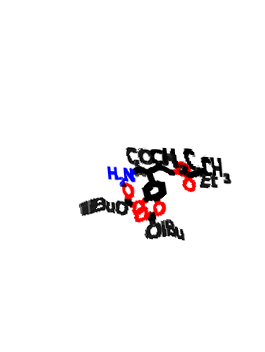 CCC(C)(C)C(=O)OCC(C)C(c1ccc(OC(=O)OCC(C)C)c(OC(=O)OCC(C)C)c1)[C@H](N)C(=O)O